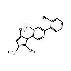 Cc1cc(C(=O)O)c(C)n1-c1ccc(-c2ccccc2C(C)C)cc1C(F)(F)F